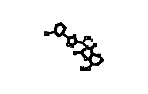 CCc1cccc(-c2nc([C@H](C)n3c(=O)oc4c(OC)ccnc4c3=O)no2)c1